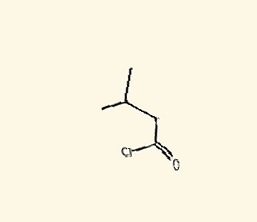 CC(C)[CH]C(=O)Cl